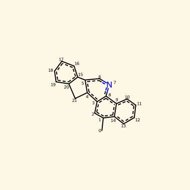 Cc1cc2c3c(cnc2c2ccccc12)-c1ccccc1C3